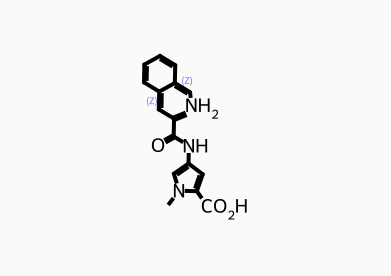 C=C(/C=c1/cccc/c1=C/N)C(=O)Nc1cc(C(=O)O)n(C)c1